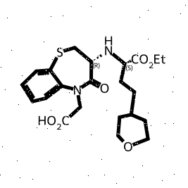 CCOC(=O)[C@H](CCC1CCOCC1)N[C@H]1CSc2ccccc2N(CC(=O)O)C1=O